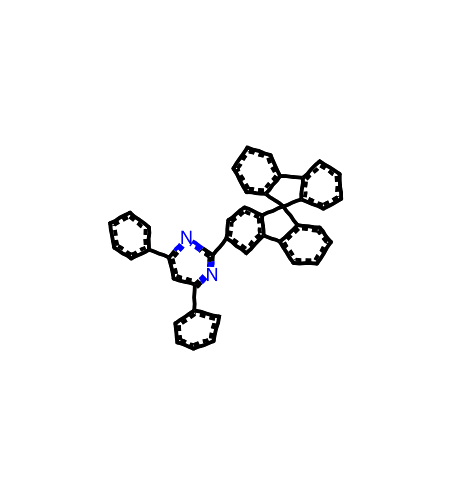 c1ccc(-c2cc(-c3ccccc3)nc(-c3ccc4c(c3)-c3ccccc3C43c4ccccc4-c4ccccc43)n2)cc1